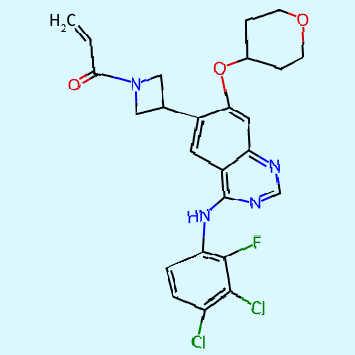 C=CC(=O)N1CC(c2cc3c(Nc4ccc(Cl)c(Cl)c4F)ncnc3cc2OC2CCOCC2)C1